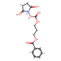 O=C(OCCCOC(=O)c1ccccc1)ON1C(=O)CCC1=O